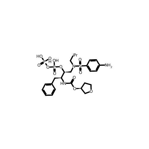 CC(C)CN(C[C@H](OP(=O)(O)OP(=O)(O)O)[C@H](Cc1ccccc1)NC(=O)O[C@H]1CCOC1)S(=O)(=O)c1ccc(N)cc1